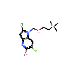 C[Si](C)(C)CCOCn1c(Cl)cc2nc(Br)c(F)cc21